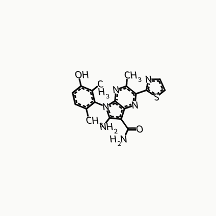 Cc1ccc(O)c(C)c1-n1c(N)c(C(N)=O)c2nc(-c3nccs3)c(C)nc21